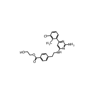 Cc1c(Cl)cccc1-c1cc(NCCc2ccc(C(=O)OCCO)cc2)nc(N)n1